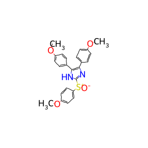 COc1ccc(-c2nc([S+]([O-])c3ccc(OC)cc3)[nH]c2-c2ccc(OC)cc2)cc1